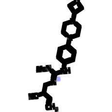 C=CC(C#N)C/N=C(\NC)Nc1ccc(N2CCN(C3COC3)CC2)cc1